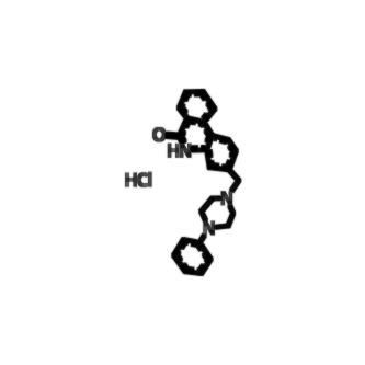 Cl.O=c1[nH]c2cc(CN3CCN(c4ccccc4)CC3)ccc2c2ccccc12